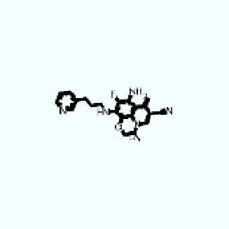 C=C1C(C#N)=CN2c3c(c(NCCCc4cccnc4)c(F)c(N)c31)OC[C@@H]2C